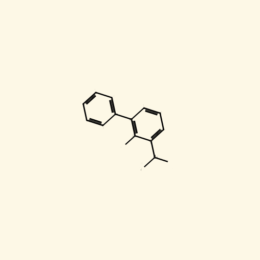 Cc1c(-c2ccccc2)cccc1C(C)Br